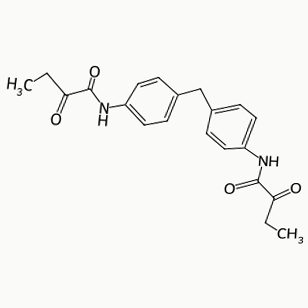 CCC(=O)C(=O)Nc1ccc(Cc2ccc(NC(=O)C(=O)CC)cc2)cc1